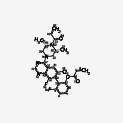 C=CC(=O)Oc1cccc(F)c1-c1c(Cl)cc2c(N3C[C@@H](C)N(C(=O)C=C)[C@@H](C)C3)ncnc2c1F